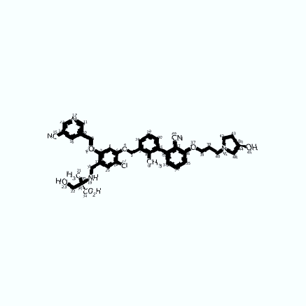 Cc1c(COc2cc(OCc3cncc(C#N)c3)c(CN[C@](C)(CO)C(=O)O)cc2Cl)cccc1-c1cccc(OCCCN2CC[C@@H](O)C2)c1C#N